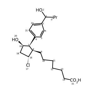 CC(C)C(O)c1ccc([C@H]2[C@@H](CCCCCCC(=O)O)[C@H](Cl)C[C@H]2O)cc1